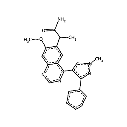 COc1cc2ncnc(-c3cn(C)nc3-c3ccccc3)c2cc1C(C)C(N)=O